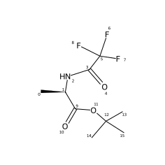 C[C@@H](NC(=O)C(F)(F)F)C(=O)OC(C)(C)C